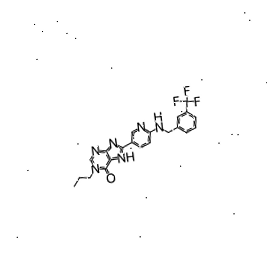 CCCn1cnc2nc(-c3ccc(NCc4cccc(C(F)(F)F)c4)nc3)[nH]c2c1=O